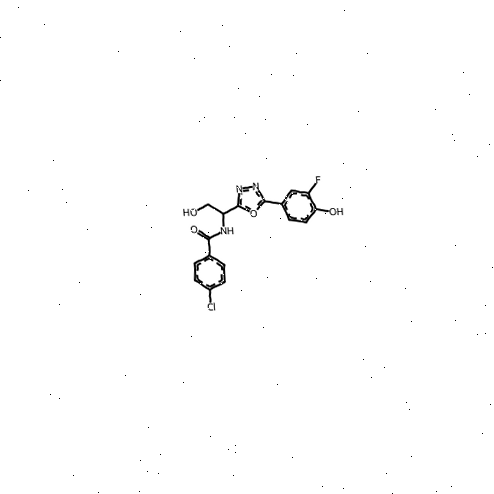 O=C(NC(CO)c1nnc(-c2ccc(O)c(F)c2)o1)c1ccc(Cl)cc1